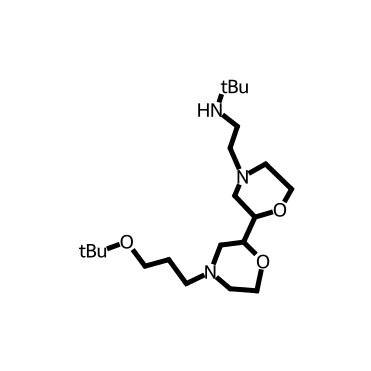 CC(C)(C)NCCN1CCOC(C2CN(CCCOC(C)(C)C)CCO2)C1